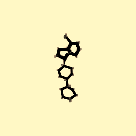 Clc1nccn2c1cnc2[C@H]1CC[C@H](N2CCOCC2)CC1